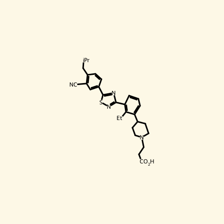 CCc1c(-c2nsc(-c3ccc(CC(C)C)c(C#N)c3)n2)cccc1C1CCN(CCC(=O)O)CC1